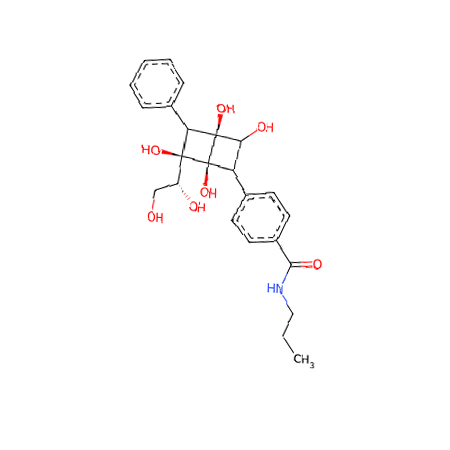 CCCNC(=O)c1ccc(C2C(O)[C@@]3(O)C(c4ccccc4)[C@@](O)([C@H](O)CO)[C@@]23O)cc1